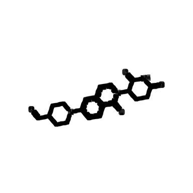 O=CC1CCN(c2ccc3c(=O)n(C4CCC(=O)NC4=O)ccc3c2)CC1